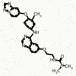 Cc1cc(Nc2ncnc3ccc(OCCNC(=O)N(C)C)cc23)ccc1Oc1ccn2ncnc2c1